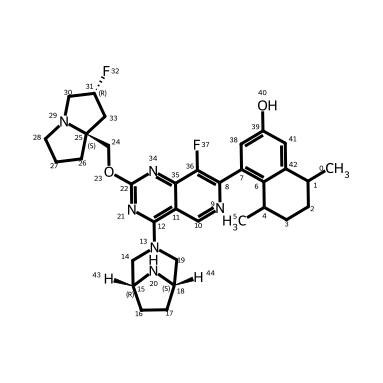 CC1CCC(C)c2c(-c3ncc4c(N5C[C@H]6CC[C@@H](C5)N6)nc(OC[C@@]56CCCN5C[C@H](F)C6)nc4c3F)cc(O)cc21